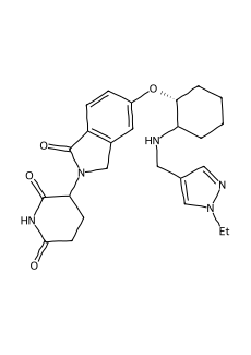 CCn1cc(CNC2CCCC[C@H]2Oc2ccc3c(c2)CN(C2CCC(=O)NC2=O)C3=O)cn1